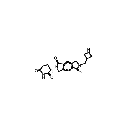 O=C1CC[C@H](N2Cc3cc4c(cc3C2=O)CN(CC2CNC2)C4=O)C(=O)N1